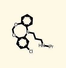 CC(C)NCCCN1c2ccccc2OCOc2ccc(Cl)cc21